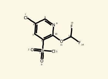 O=S(=O)(Cl)c1cc(Cl)cnc1OC(F)F